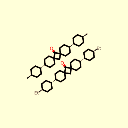 CC[C@H]1CC[C@H](C2CCC3(CC2)CC2(CCC([C@H]4CC[C@H](CC)CC4)CC2)C3=O)CC1.C[C@H]1CC[C@H](C2CCC3(CC2)CC2(CCC([C@H]4CC[C@H](C)CC4)CC2)C3=O)CC1